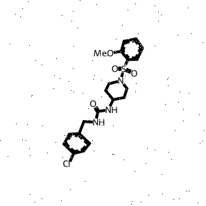 COc1ccccc1S(=O)(=O)N1CCC(NC(=O)NCc2ccc(Cl)cc2)CC1